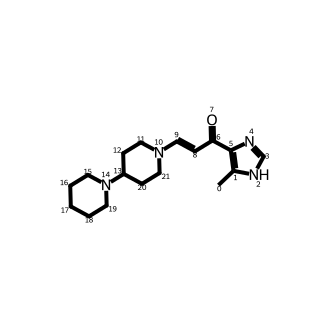 Cc1[nH]cnc1C(=O)C=CN1CCC(N2CCCCC2)CC1